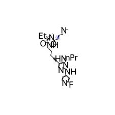 CCCNc1nc(Nc2ccnc(F)c2)ncc1C#CCCCNC(=O)[C@H](CC)N(C)C(=O)/C=C/CN(C)C